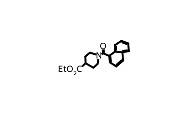 CCOC(=O)C1CCN(C(=O)c2cccc3ccccc23)CC1